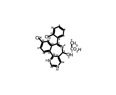 CC(=O)O.OC1N=C(c2ccccc2Cl)c2cc(Cl)ccc2-c2ncncc21